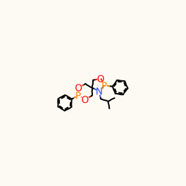 CC(C)CN1P(c2ccccc2)OCC12COP(c1ccccc1)OC2